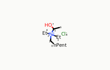 CCCCCC[N+](CC)(CC)C(C)O.[Cl-]